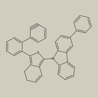 c1cccc(-c2ccccc2-c2sc(-n3c4ccccc4c4cc(-c5ccccc5)ccc43)c3c2CCC=C3)c#1